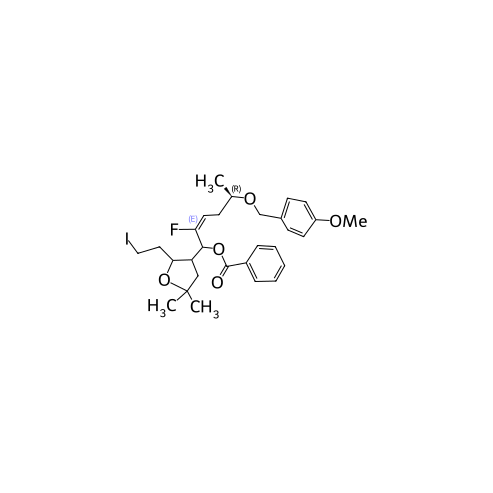 COc1ccc(CO[C@H](C)C/C=C(/F)C(OC(=O)c2ccccc2)C2CC(C)(C)OC2CCI)cc1